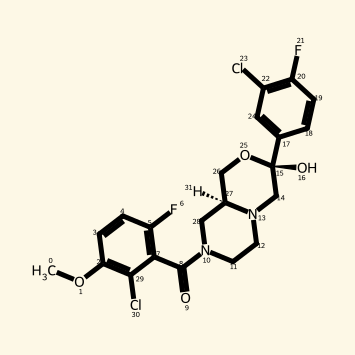 COc1ccc(F)c(C(=O)N2CCN3C[C@@](O)(c4ccc(F)c(Cl)c4)OC[C@@H]3C2)c1Cl